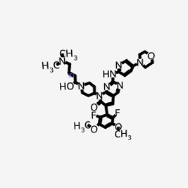 COc1cc(OC)c(F)c(-c2cc3cnc(Nc4ccc(N5CCOCC5)cn4)nc3n(C3CCN(C(O)/C=C/CN(C)C)CC3)c2=O)c1F